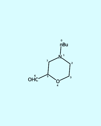 CCCCN1CCOC(C=O)C1